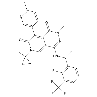 Cc1ccc(-c2c(=O)n(C3(C)CC3)cc3c(N[C@H](C)c4cccc(C(F)(F)F)c4F)nn(C)c(=O)c23)cn1